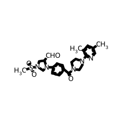 Cc1cnc(N2CCN(C(=O)c3ccc(N4CN(S(C)(=O)=O)CC4C=O)cc3)CC2)c(C)c1